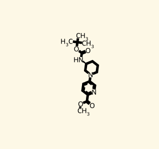 COC(=O)c1ccc(N2CCC[C@H](NC(=O)OC(C)(C)C)C2)cn1